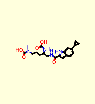 O=C(O)NCCCC(CNC(=O)c1cc2ccc(C3CC3)cc2[nH]1)NC(=O)O